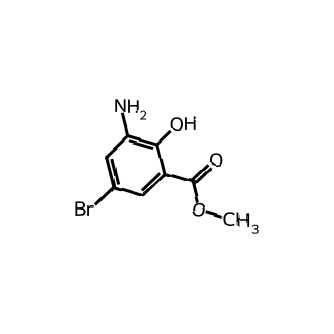 COC(=O)c1cc(Br)cc(N)c1O